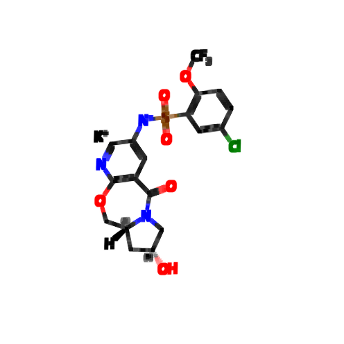 O=C1c2cc([N-]S(=O)(=O)c3cc(Cl)ccc3OC(F)(F)F)cnc2OC[C@H]2C[C@@H](O)CN12.[K+]